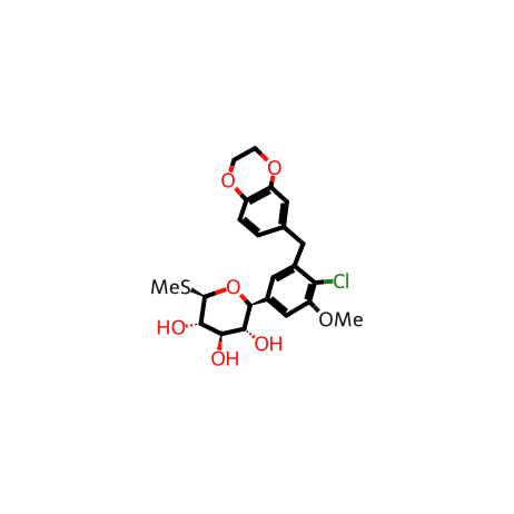 COc1cc([C@@H]2O[C@H](SC)[C@@H](O)[C@H](O)[C@H]2O)cc(Cc2ccc3c(c2)OCCO3)c1Cl